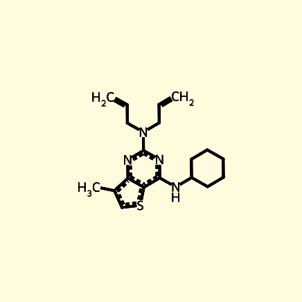 C=CCN(CC=C)c1nc(NC2CCCCC2)c2scc(C)c2n1